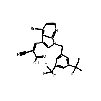 N#CC(=Cc1cn(Cc2cc(C(F)(F)F)cc(C(F)(F)F)c2)c2nccc(Br)c12)C(=O)O